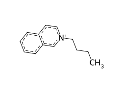 CCCC[n+]1ccc2ccccc2c1